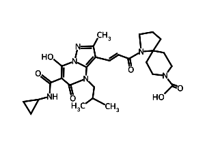 Cc1nn2c(O)c(C(=O)NC3CC3)c(=O)n(CC(C)C)c2c1C=CC(=O)N1CCCC12CCN(C(=O)O)CC2